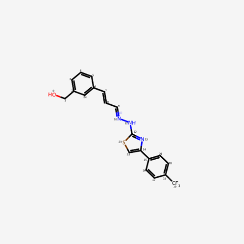 OCc1cccc(C=C/C=N/Nc2nc(-c3ccc(C(F)(F)F)cc3)cs2)c1